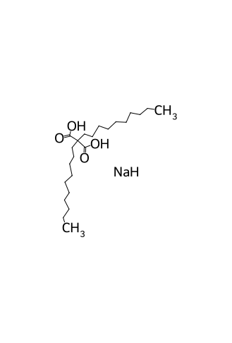 CCCCCCCCCCC(CCCCCCCCCC)(C(=O)O)C(=O)O.[NaH]